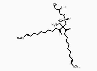 CCCCCCCC/C=C/CCCCCCCC(=O)C(CN)(OP(=O)(O)OCC(O)CO)C(=O)CCCCCCC/C=C/CCCCCCCC